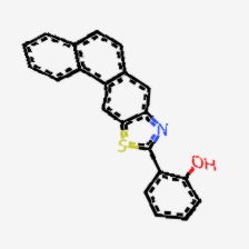 Oc1ccccc1-c1nc2cc3ccc4ccccc4c3cc2s1